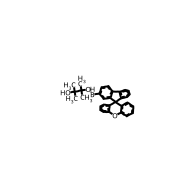 CC(C)(O)C(C)(C)OBc1ccc2c(c1)C1(c3ccccc3Oc3ccccc31)c1ccccc1-2